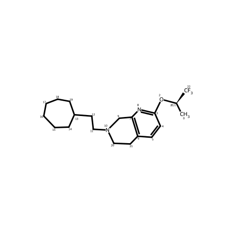 C[C@@H](Oc1ccc2c(n1)CN(CCC1CCCCCC1)CC2)C(F)(F)F